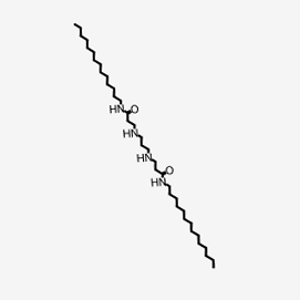 CCCCCCCCCCCCCCNC(=O)CCNCCCNCCC(=O)NCCCCCCCCCCCCCC